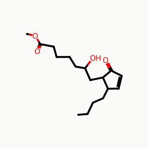 CCCCC1C=CC(=O)C1CC(O)CCCCC(=O)OC